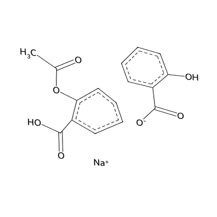 CC(=O)Oc1ccccc1C(=O)O.O=C([O-])c1ccccc1O.[Na+]